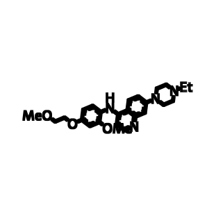 CCN1CCN(c2ccc3c(Nc4ccc(OCCOC)cc4OC)ccnc3c2)CC1